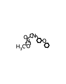 CC1CN(C(=O)C2CCN(Cc3cccc(Oc4ccccc4)c3)C2)CCO1